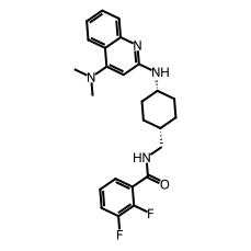 CN(C)c1cc(N[C@H]2CC[C@@H](CNC(=O)c3cccc(F)c3F)CC2)nc2ccccc12